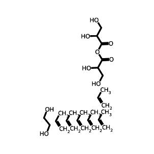 C=CC.C=CC.C=CC.C=CC.C=CC.C=CC.O=C(OC(=O)C(O)CO)C(O)CO.OCCO